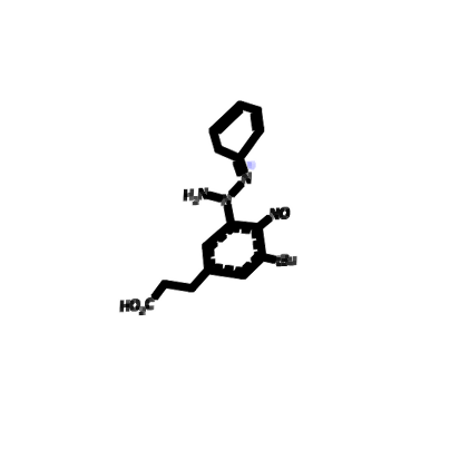 CC(C)(C)c1cc(CCC(=O)O)cc(N(N)/N=C2/C=CC=CC2)c1N=O